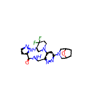 O=C(NCc1nnc(N2CC3CCC(C2)O3)cc1N1CCC(F)(F)CC1)c1ccn[nH]1